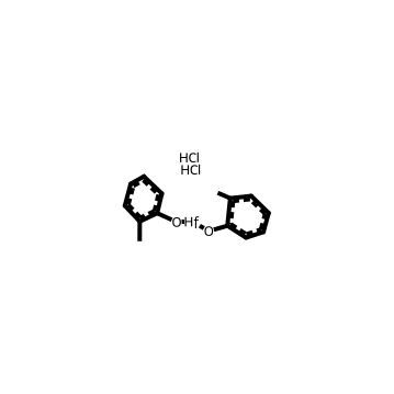 Cc1ccccc1[O][Hf][O]c1ccccc1C.Cl.Cl